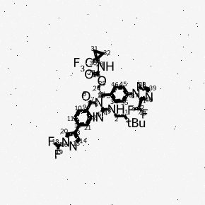 CC(C)(C)CCNC(=N)N(C(=O)c1ccc(-c2cnn(C(F)F)c2)cc1)[C@H](COC(=O)NC1(C(F)(F)F)CC1)c1ccc(-n2ncnc2C(F)F)cc1